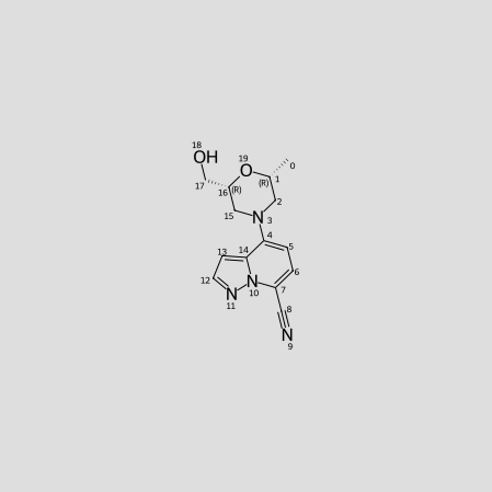 C[C@@H]1CN(c2ccc(C#N)n3nccc23)C[C@H](CO)O1